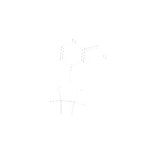 CC1(C)OB(c2ccnc3cnsc23)OC1(C)C